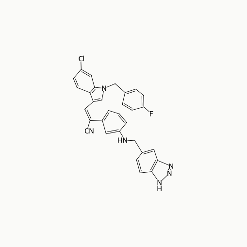 N#CC(=Cc1cn(Cc2ccc(F)cc2)c2cc(Cl)ccc12)c1cccc(NCc2ccc3[nH]nnc3c2)c1